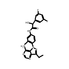 CCc1nn(-c2ccc(NC(=O)C(O)c3cc(F)cc(F)c3)cc2C)c2c(N)ncnc12